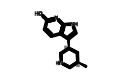 C[C@H]1CNC[C@@H](c2c[nH]c3nc(O)ccc23)C1